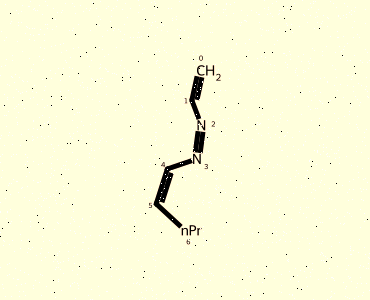 C=C/N=N\C=C/CCC